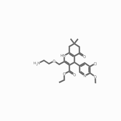 CCOC(=O)C1=C(COCCN)NC2=C(C(=O)CC(C)(C)C2)C1c1cnc(OC)c(Cl)c1